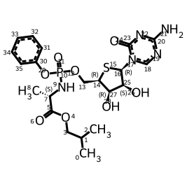 CC(C)COC(=O)[C@H](C)NP(=O)(OC[C@H]1S[C@@H](n2cnc(N)nc2=O)[C@@H](O)[C@H]1O)Oc1ccccc1